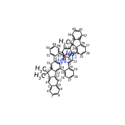 CC1(C)c2cc3ccccc3cc2-c2c(-c3ccccc3/C(=C/Cc3cccc4c3C(C)(c3ccccc3)c3ccccc3-4)NC(N)c3ccccc3)cccc21